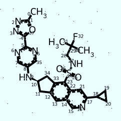 Cc1nnc(-c2ncc(N[C@@H]3Cc4cc5cnc(C6CC6)cc5c(S(=O)(=O)NCC(C)(C)F)c4C3)cn2)o1